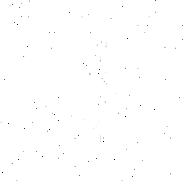 Cc1cn(-c2ccc3n(c2=O)C[C@@H]2CC[C@@H](c4cc(C(F)(F)F)cc(C(F)(F)F)c4)N2C3=O)cn1